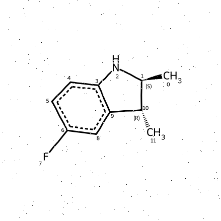 C[C@@H]1Nc2ccc(F)cc2[C@H]1C